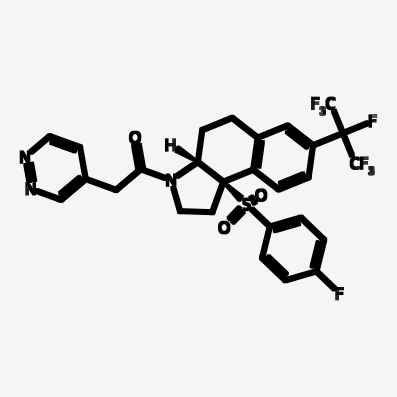 O=C(Cc1ccnnc1)N1CC[C@@]2(S(=O)(=O)c3ccc(F)cc3)c3ccc(C(F)(C(F)(F)F)C(F)(F)F)cc3CC[C@@H]12